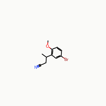 COc1ccc(Br)cc1C(C)CC#N